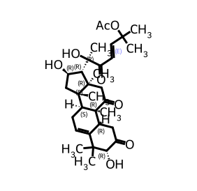 CC(=O)OC(C)(C)/C=C/C(=O)[C@](C)(O)[C@H]1[C@H](O)C[C@@]2(C)[C@@H]3CC=C4[C@@H](CC(=O)[C@H](O)C4(C)C)[C@]3(C)C(=O)C[C@]12C